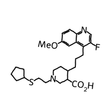 COc1ccc2ncc(F)c(CCCC3CCN(CCSC4CCCC4)CC3C(=O)O)c2c1